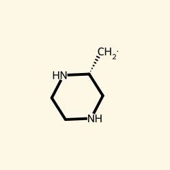 [CH2][C@@H]1CNCCN1